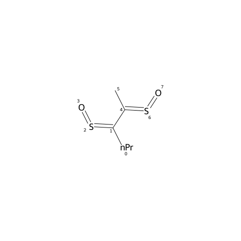 CCCC(=S=O)C(C)=S=O